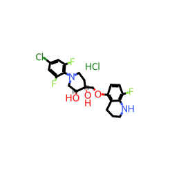 Cl.O[C@@H]1CN(c2c(F)cc(Cl)cc2F)CC[C@@]1(O)COc1ccc(F)c2c1CCCN2